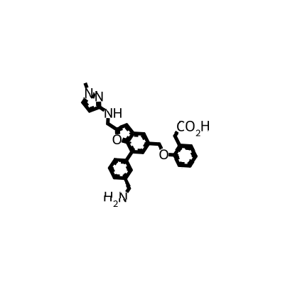 Cn1ccc(NCc2cc3cc(COc4ccccc4CC(=O)O)cc(-c4cccc(CN)c4)c3o2)n1